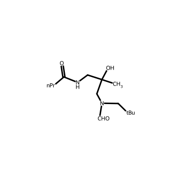 CCCC(=O)NCC(C)(O)CN(C=O)CC(C)(C)C